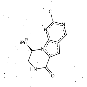 CC[C@H](C)C1CNC(=O)c2cc3cnc(Cl)nc3n21